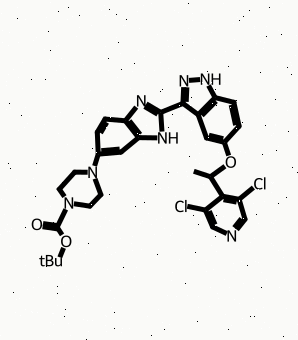 CC(Oc1ccc2[nH]nc(-c3nc4ccc(N5CCN(C(=O)OC(C)(C)C)CC5)cc4[nH]3)c2c1)c1c(Cl)cncc1Cl